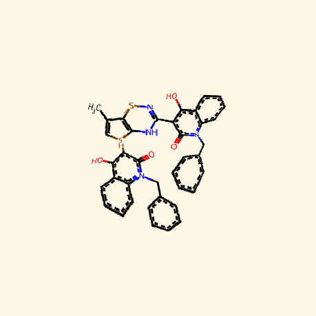 CC1=C[SH](c2c(O)c3ccccc3n(Cc3ccccc3)c2=O)C2=C1SN=C(c1c(O)c3ccccc3n(Cc3ccccc3)c1=O)N2